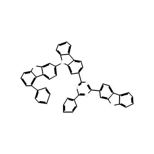 c1ccc(-c2nc(-c3ccc4c(c3)oc3ccccc34)nc(-c3ccc4c5ccccc5n(-c5ccc6c(c5)oc5cccc(-c7ccccc7)c56)c4c3)n2)cc1